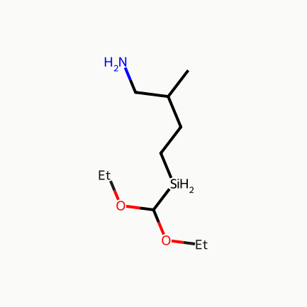 CCOC(OCC)[SiH2]CCC(C)CN